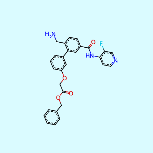 NCc1ccc(C(=O)Nc2ccncc2F)cc1-c1cccc(OCC(=O)OCc2ccccc2)c1